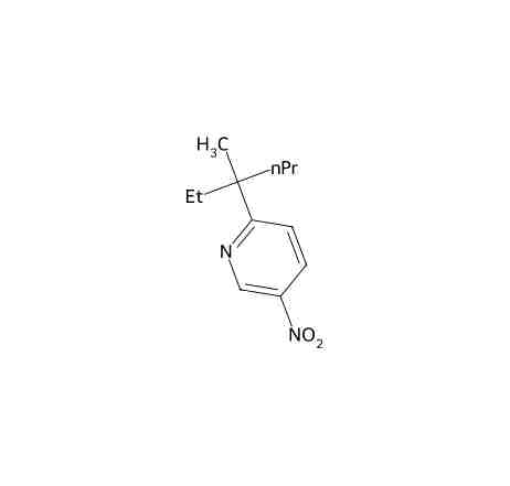 CCCC(C)(CC)c1ccc([N+](=O)[O-])cn1